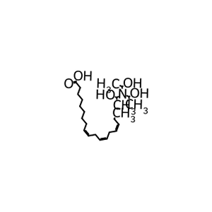 CC(O)N(C(C)O)C(C)O.CC/C=C\C/C=C\C/C=C\CCCCCCCC(=O)O